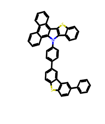 c1ccc(-c2ccc3sc4ccc(-c5ccc(-n6c7c8ccccc8sc7c7c8ccccc8c8ccccc8c76)cc5)cc4c3c2)cc1